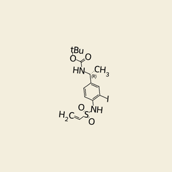 C=CS(=O)(=O)Nc1ccc([C@@H](C)NC(=O)OC(C)(C)C)cc1I